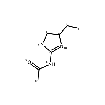 CCC1CSC(NC(C)=O)=N1